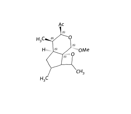 CO[C@H]1O[C@H](C(C)=O)[C@H](C)[C@@H]2CC(C)C3C(C)O[C@@]312